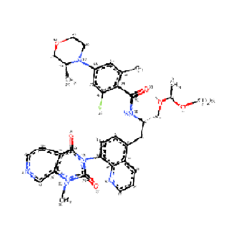 CCOC(=O)OC(C)OC[C@H](Cc1ccc(-n2c(=O)c3ccncc3n(C)c2=O)c2ncccc12)NC(=O)c1c(C)cc(N2CCOC[C@@H]2C(F)(F)F)cc1F